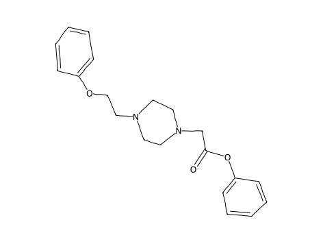 O=C(CN1CCN(CCOc2ccccc2)CC1)Oc1ccccc1